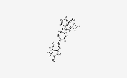 CC1(C)C(=O)Nc2cc(-c3ccc(NCC4(c5ncccc5F)CCC4)nn3)ccc21